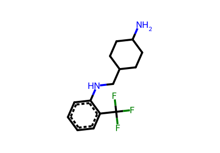 NC1CCC(CNc2ccccc2C(F)(F)F)CC1